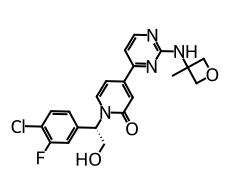 CC1(Nc2nccc(-c3ccn([C@H](CO)c4ccc(Cl)c(F)c4)c(=O)c3)n2)COC1